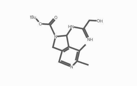 Cc1ncc2c(c1C)C(NC(=N)CO)N(C(=O)OC(C)(C)C)C2